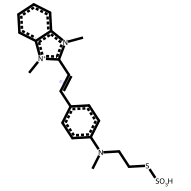 CN(CCSS(=O)(=O)O)c1ccc(/C=C/c2n(C)c3ccccc3[n+]2C)cc1